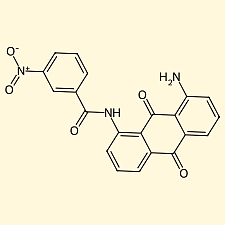 Nc1cccc2c1C(=O)c1c(NC(=O)c3cccc([N+](=O)[O-])c3)cccc1C2=O